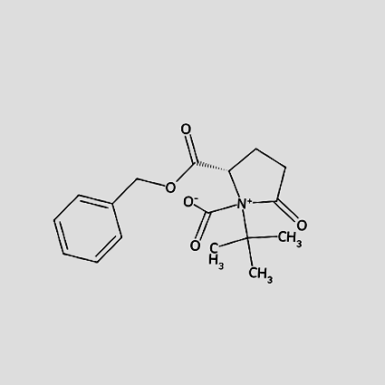 CC(C)(C)[N+]1(C(=O)[O-])C(=O)CC[C@H]1C(=O)OCc1ccccc1